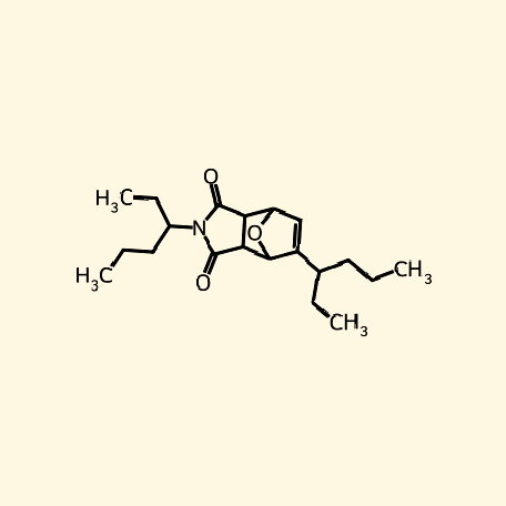 CCCC(CC)C1=CC2OC1C1C(=O)N(C(CC)CCC)C(=O)C21